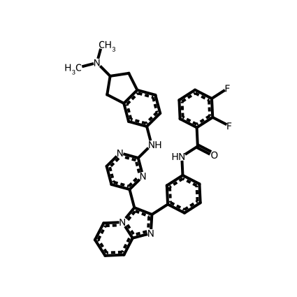 CN(C)C1Cc2ccc(Nc3nccc(-c4c(-c5cccc(NC(=O)c6cccc(F)c6F)c5)nc5ccccn45)n3)cc2C1